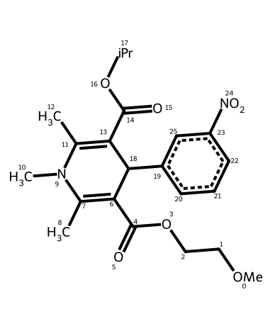 COCCOC(=O)C1=C(C)N(C)C(C)=C(C(=O)OC(C)C)C1c1cccc([N+](=O)[O-])c1